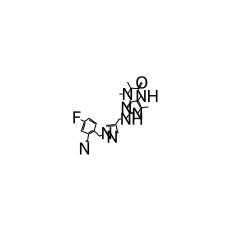 Cc1nc(NCc2cnn(Cc3ccc(F)cc3C#N)c2)nc2c1NC(=O)C(C)N2C